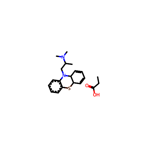 CC(CN1c2ccccc2SC2C=CC=CC21)N(C)C.CCC(=O)O